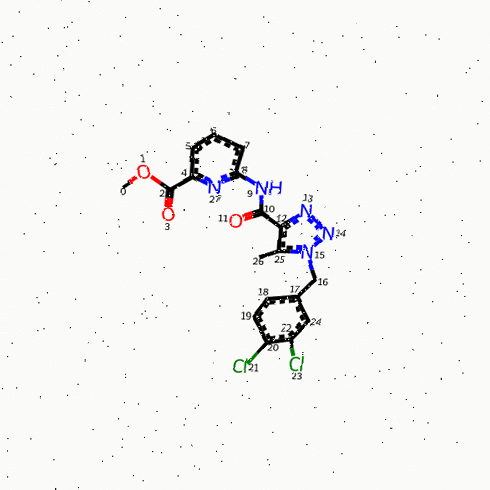 COC(=O)c1cccc(NC(=O)c2nnn(Cc3ccc(Cl)c(Cl)c3)c2C)n1